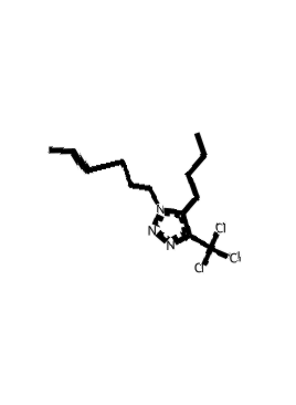 CCCCCCn1nnc(C(Cl)(Cl)Cl)c1CCCC